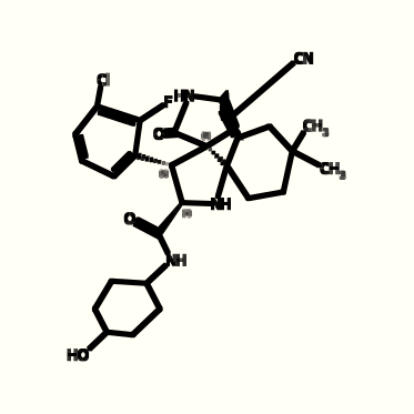 CC1(C)CCC2(CC1)N[C@@H](C(=O)NC1CCC(O)CC1)[C@H](c1cccc(Cl)c1F)[C@]21C(=O)Nc2cc(C#N)ccc21